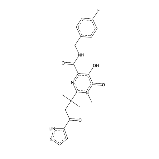 Cn1c(C(C)(C)CC(=O)c2ccn[nH]2)nc(C(=O)NCc2ccc(F)cc2)c(O)c1=O